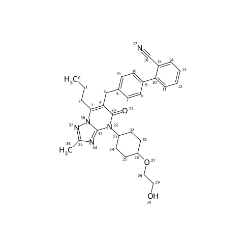 CCCc1c(Cc2ccc(-c3ccccc3C#N)cc2)c(=O)n(C2CCC(OCCO)CC2)c2nc(C)nn12